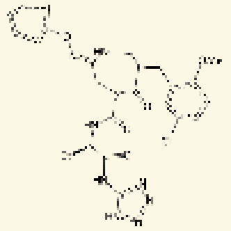 CC[C@@H](NC(=O)N1C/C(=N/Oc2ccccc2)NC[C@@H](Cc2cc(Cl)ccc2OC)C1=O)C(=O)Nc1nnn[nH]1